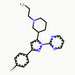 Fc1ccc(-c2cc(C3CCCN(CCC(F)(F)F)C3)n(-c3ncccn3)n2)cc1